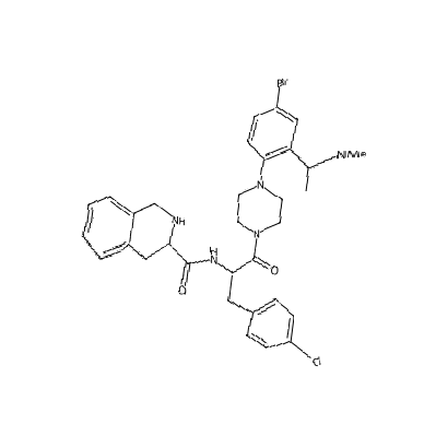 CNC(C)c1cc(Br)ccc1N1CCN(C(=O)C(Cc2ccc(Cl)cc2)NC(=O)C2Cc3ccccc3CN2)CC1